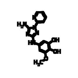 COc1cc(Nc2nc(N)n(-c3ccccn3)n2)cc(O)c1O